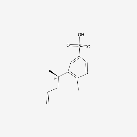 C=CC[C@@H](C)c1cc(S(=O)(=O)O)ccc1C